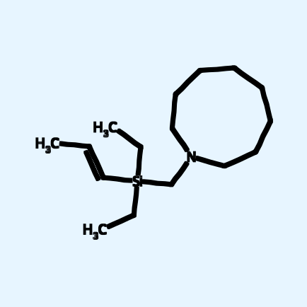 CC=C[Si](CC)(CC)CN1CCCCCCCC1